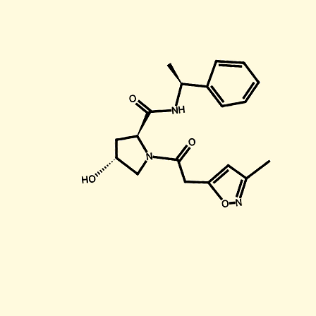 Cc1cc(CC(=O)N2C[C@H](O)C[C@H]2C(=O)N[C@@H](C)c2ccccc2)on1